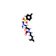 Cc1ccc(S(=O)(=O)CN(C)C[C@@H]2CN(CCCC(C)C)C(=O)O2)cc1